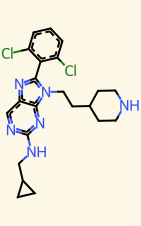 Clc1cccc(Cl)c1-c1nc2cnc(NCC3CC3)nc2n1CCC1CCNCC1